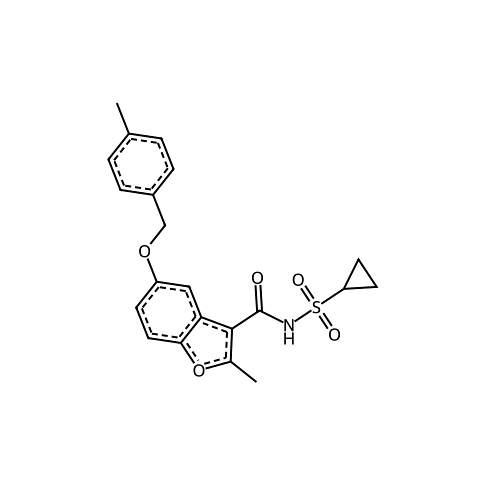 Cc1ccc(COc2ccc3oc(C)c(C(=O)NS(=O)(=O)C4CC4)c3c2)cc1